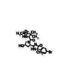 CC(=O)N[C@H](C(=O)N1C[C@H](O)C[C@@H]1C1=NC(=O)[C@](C)(c2ccc(Br)cc2)N1)C(C)(C)C